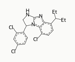 CCC(CC)c1ccc(Cl)c2c1nc1n2C(c2ccc(Cl)cc2Cl)CN1